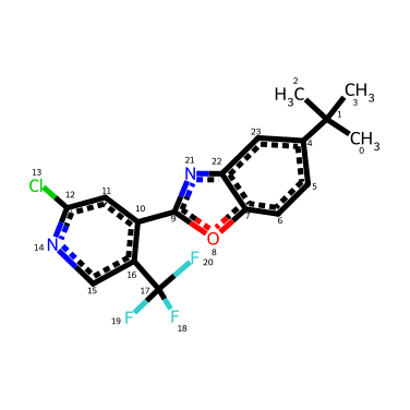 CC(C)(C)c1ccc2oc(-c3cc(Cl)ncc3C(F)(F)F)nc2c1